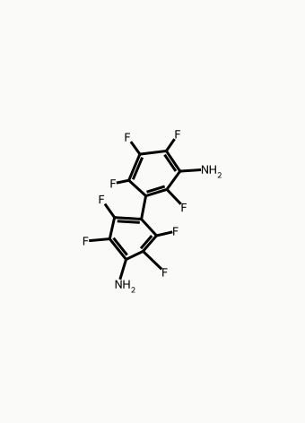 Nc1c(F)c(F)c(-c2c(F)c(N)c(F)c(F)c2F)c(F)c1F